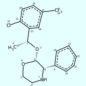 C[C@@H](O[C@H]1OCCN[C@H]1c1ccccc1)c1cc(C(F)(F)F)ccc1Cl